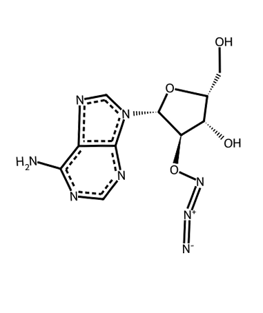 [N-]=[N+]=NO[C@@H]1[C@@H](O)[C@@H](CO)O[C@H]1n1cnc2c(N)ncnc21